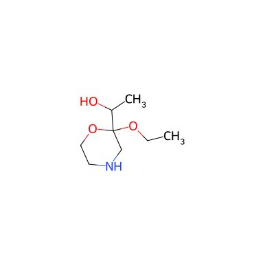 CCOC1(C(C)O)CNCCO1